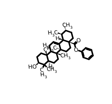 C[C@H]1[C@H](C)CC[C@]2(C(=O)Oc3ccccc3)CC[C@]3(C)C(=CCC4[C@@]5(C)CC[C@H](O)C(C)(C)[C@@H]5CC[C@]43C)[C@H]12